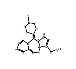 CN1CCC(=C2C3C=CC=CC3=CCN3C(CO)=CNC23)CC1